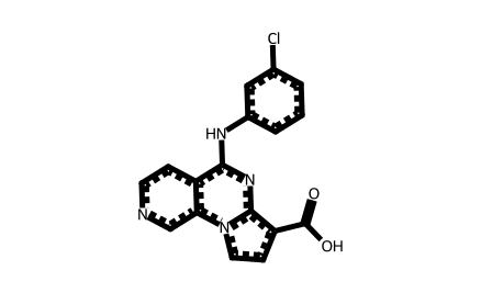 O=C(O)c1ccn2c1nc(Nc1cccc(Cl)c1)c1ccncc12